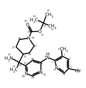 Cc1cc(Br)cnc1Nc1cc(C(C)(N)C2CCN(C(=O)OC(C)(C)C)CC2)ncn1